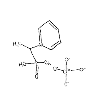 CC([n+]1ccccc1)P(=O)(O)O.[O-][Cl+3]([O-])([O-])[O-]